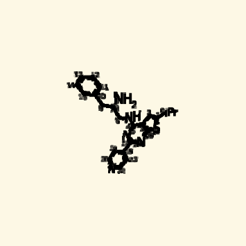 CC(C)c1cc2c(NC[C@@H](N)Cc3ccccc3)nc(-c3ccncc3)nc2s1